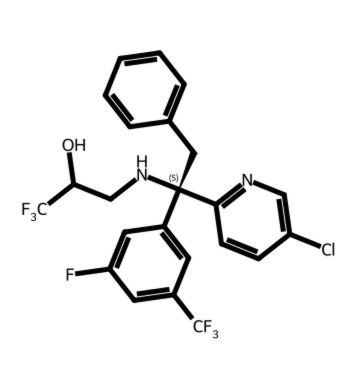 OC(CN[C@@](Cc1ccccc1)(c1cc(F)cc(C(F)(F)F)c1)c1ccc(Cl)cn1)C(F)(F)F